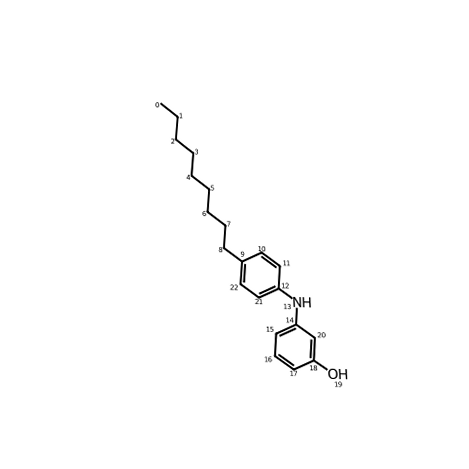 CCCCCCCCCc1ccc(Nc2cccc(O)c2)cc1